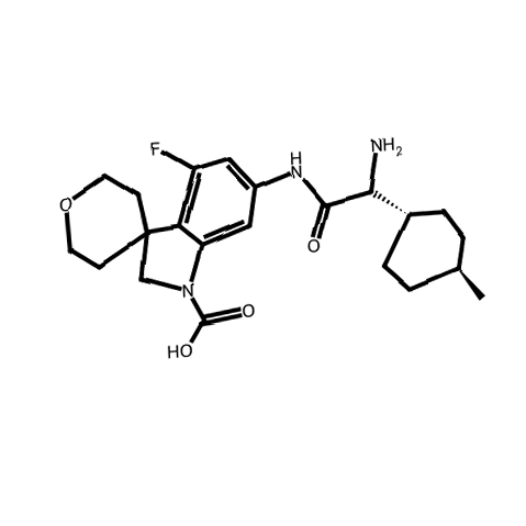 C[C@H]1CC[C@H](C(N)C(=O)Nc2cc(F)c3c(c2)N(C(=O)O)CC32CCOCC2)CC1